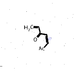 C=CC(=O)/C=C\C(C)=O